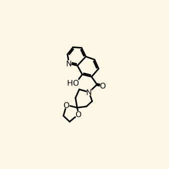 O=C(c1ccc2cccnc2c1O)N1CCC2(CC1)OCCO2